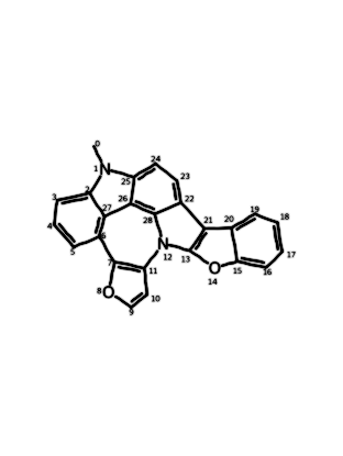 Cn1c2cccc3c4occc4n4c5oc6ccccc6c5c5ccc1c(c32)c54